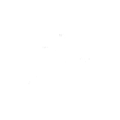 CCOC(=O)c1cc(-c2ccc(F)cc2)c(O)c([N+](=O)[O-])c1